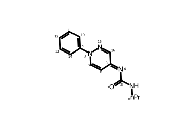 CCCNC(=O)N=c1ccn(-c2ccccc2)nc1